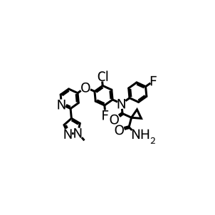 Cn1cc(-c2cc(Oc3cc(F)c(N(C(=O)C4(C(N)=O)CC4)c4ccc(F)cc4)cc3Cl)ccn2)cn1